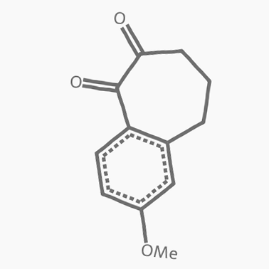 COc1ccc2c(c1)CCCC(=O)C2=O